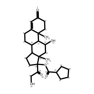 CC12CCC(=O)C=C1CCC1C2C(O)CC2(C)C1CCC2(OC(=O)C1CCCC1)C(=O)CO